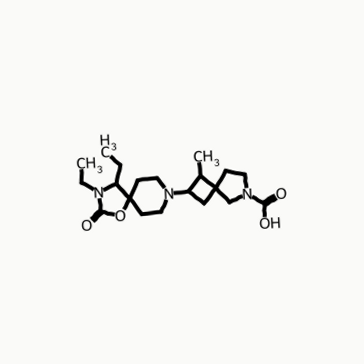 CCC1N(CC)C(=O)OC12CCN(C1CC3(CCN(C(=O)O)C3)C1C)CC2